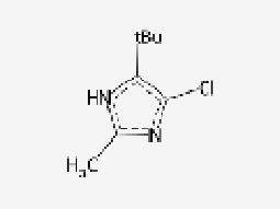 Cc1nc(Cl)c(C(C)(C)C)[nH]1